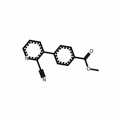 COC(=O)c1ccc(-c2cccnc2C#N)cc1